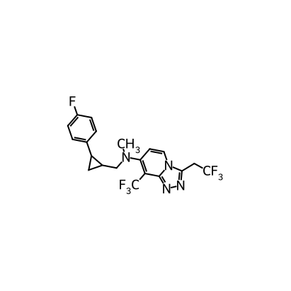 CN(CC1CC1c1ccc(F)cc1)c1ccn2c(CC(F)(F)F)nnc2c1C(F)(F)F